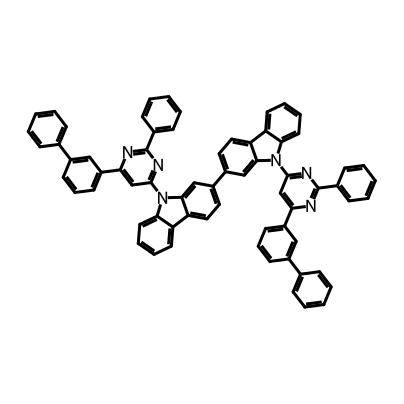 c1ccc(-c2cccc(-c3cc(-n4c5ccccc5c5ccc(-c6ccc7c8ccccc8n(-c8cc(-c9cccc(-c%10ccccc%10)c9)nc(-c9ccccc9)n8)c7c6)cc54)nc(-c4ccccc4)n3)c2)cc1